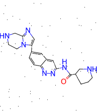 O=C(Nc1cc2cc(-c3cnc4n3CCNC4)ccc2nn1)C1CCCNC1